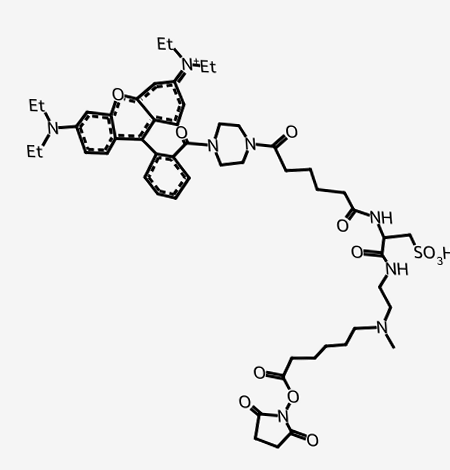 CCN(CC)c1ccc2c(-c3ccccc3C(=O)N3CCN(C(=O)CCCCC(=O)NC(CS(=O)(=O)O)C(=O)NCCN(C)CCCCCC(=O)ON4C(=O)CCC4=O)CC3)c3ccc(=[N+](CC)CC)cc-3oc2c1